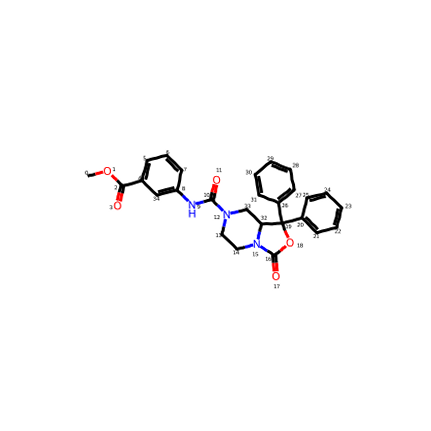 COC(=O)c1cccc(NC(=O)N2CCN3C(=O)OC(c4ccccc4)(c4ccccc4)C3C2)c1